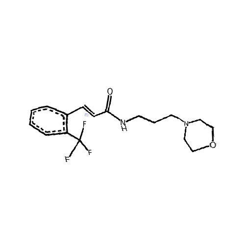 O=C(/C=C/c1ccccc1C(F)(F)F)NCCCN1CCOCC1